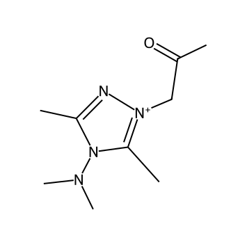 CC(=O)C[n+]1nc(C)n(N(C)C)c1C